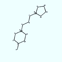 CC1CCN(CCCN2CCCC2)CC1